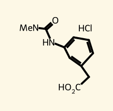 CNC(=O)Nc1cccc(CC(=O)O)c1.Cl